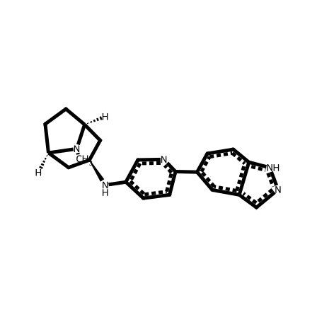 CN1[C@@H]2CC[C@H]1C[C@@H](Nc1ccc(-c3ccc4[nH]ncc4c3)nc1)C2